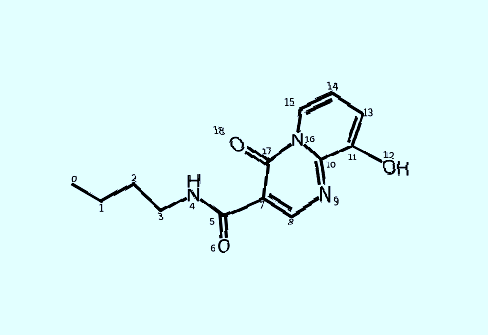 CCCCNC(=O)c1cnc2c(O)cccn2c1=O